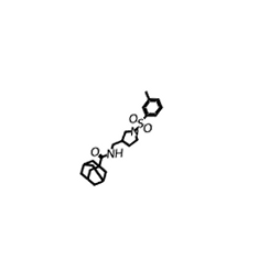 Cc1cccc(S(=O)(=O)N2CCC(CNC(=O)C34CC5CC(CC(C5)C3)C4)C2)c1